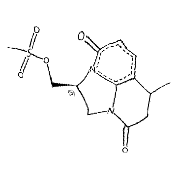 CC1CC(=O)N2C[C@@H](COS(C)(=O)=O)n3c2c1ccc3=O